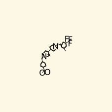 COC(=O)c1ccc(C[n+]2ccc(-c3cc[n+](Cc4cc(C)cc(C(F)(F)F)c4)cc3)cc2)cc1